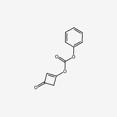 O=C1C=C(OC(=O)Oc2ccccc2)C1